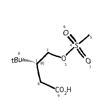 CC(C)(C)[C@H](COS(C)(=O)=O)CC(=O)O